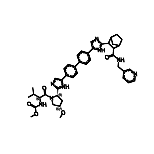 COC(=O)N[C@H](C(=O)N1C[C@@H](OC)C[C@H]1c1ncc(-c2ccc(-c3ccc(-c4cnc(C5C6CCC(C6)C5C(=O)NCc5cccnc5)[nH]4)cc3)cc2)[nH]1)C(C)C